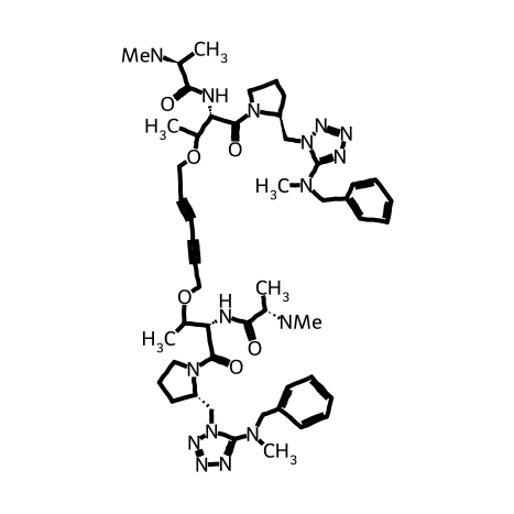 CN[C@@H](C)C(=O)N[C@H](C(=O)N1CCC[C@H]1Cn1nnnc1N(C)Cc1ccccc1)C(C)OCC#CC#CCOC(C)[C@H](NC(=O)[C@H](C)NC)C(=O)N1CCC[C@H]1Cn1nnnc1N(C)Cc1ccccc1